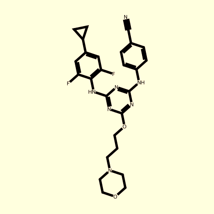 N#Cc1ccc(Nc2nc(Nc3c(F)cc(C4CC4)cc3F)nc(OCCCN3CCOCC3)n2)cc1